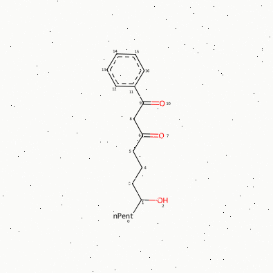 CCCCCC(O)CCCC(=O)CC(=O)c1ccccc1